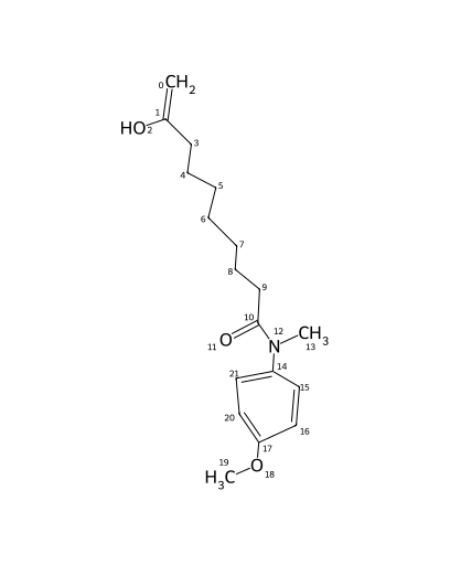 C=C(O)CCCCCCCC(=O)N(C)c1ccc(OC)cc1